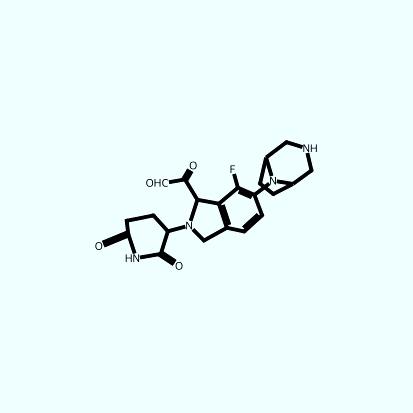 O=CC(=O)C1c2c(ccc(N3C4CCC3CNC4)c2F)CN1C1CCC(=O)NC1=O